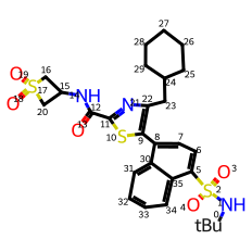 CC(C)(C)NS(=O)(=O)c1ccc(-c2sc(C(=O)NC3CS(=O)(=O)C3)nc2CC2CCCCC2)c2ccccc12